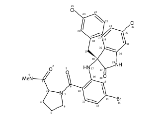 CNC(=O)C1CCCN1C(=O)c1ccc(Br)cc1N[C@@]1(Cc2cccc(Cl)c2)C(=O)Nc2cc(Cl)ccc21